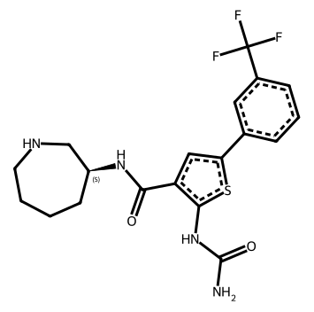 NC(=O)Nc1sc(-c2cccc(C(F)(F)F)c2)cc1C(=O)N[C@H]1CCCCNC1